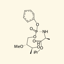 CO[C@H](CO[P@](=O)(N[C@@H](C)C(=O)OC(C)C)Oc1ccccc1)[C@H](C)O